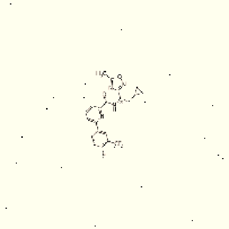 Cc1nc([C@H](CC2CC2)NC(=O)c2cccc(-c3ccc(F)c(C(F)(F)F)c3)n2)no1